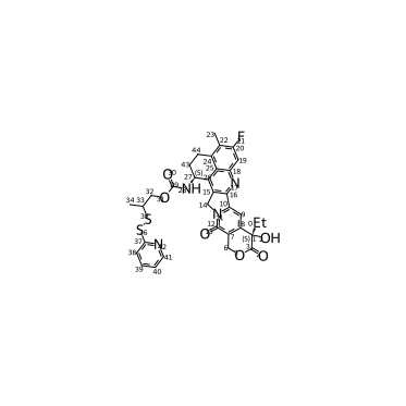 CC[C@@]1(O)C(=O)OCc2c1cc1n(c2=O)Cc2c-1nc1cc(F)c(C)c3c1c2[C@@H](NC(=O)OCC(C)SSc1ccccn1)CC3